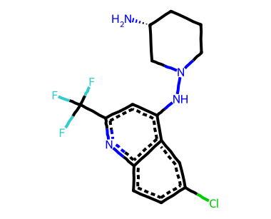 N[C@@H]1CCCN(Nc2cc(C(F)(F)F)nc3ccc(Cl)cc23)C1